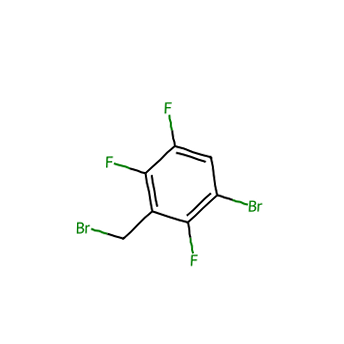 Fc1cc(Br)c(F)c(CBr)c1F